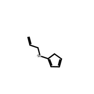 C=C[CH2][Sn][C]1=CC=CC1